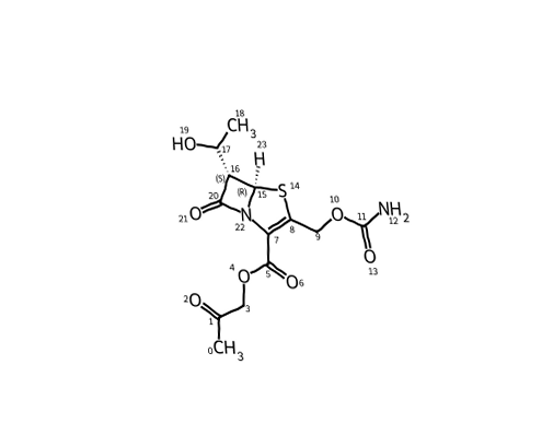 CC(=O)COC(=O)C1=C(COC(N)=O)S[C@@H]2[C@@H](C(C)O)C(=O)N12